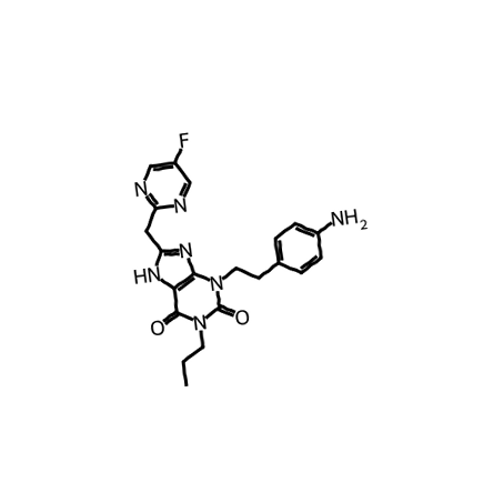 CCCn1c(=O)c2[nH]c(Cc3ncc(F)cn3)nc2n(CCc2ccc(N)cc2)c1=O